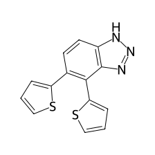 c1csc(-c2ccc3[nH]nnc3c2-c2cccs2)c1